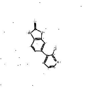 O=c1[nH]c2ccc(-c3cccnc3Cl)cc2o1